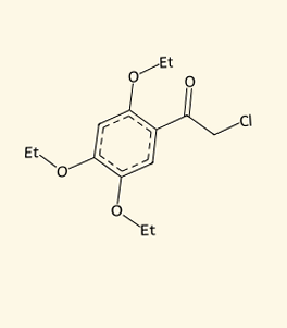 CCOc1cc(OCC)c(C(=O)CCl)cc1OCC